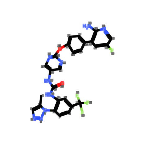 Cc1cnnn1-c1ccc(C(F)(F)F)cc1NC(=O)Nc1cnc(Oc2ccc(-c3cc(F)cnc3N)cc2)nc1